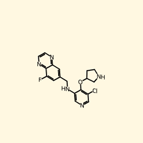 Fc1cc(CNc2cncc(Cl)c2OC2CCNC2)cc2nccnc12